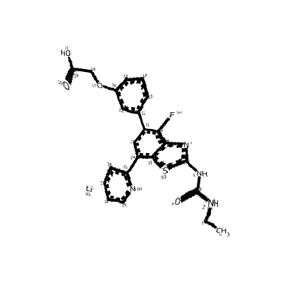 CCNC(=O)Nc1nc2c(F)c(-c3cccc(OCC(=O)O)c3)cc(-c3ccccn3)c2s1.[Li]